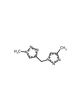 Cc1cn(Cc2cn(C)nn2)nn1